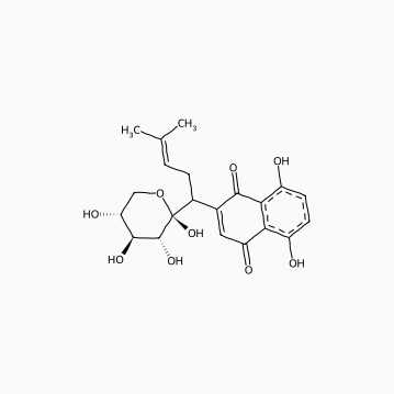 CC(C)=CCC(C1=CC(=O)c2c(O)ccc(O)c2C1=O)[C@@]1(O)OC[C@@H](O)[C@H](O)[C@H]1O